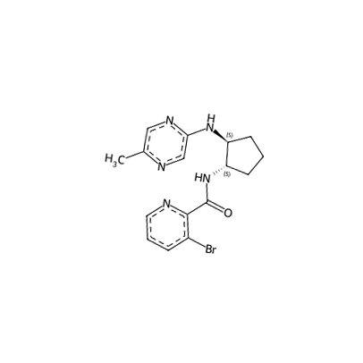 Cc1cnc(N[C@H]2CCC[C@@H]2NC(=O)c2ncccc2Br)cn1